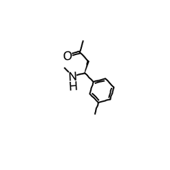 CN[C@@H](CC(C)=O)c1cccc(C)c1